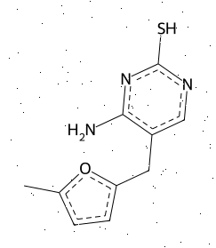 Cc1ccc(Cc2cnc(S)nc2N)o1